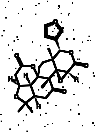 CC1(C)O[C@H]2CC(=O)OC34CC[C@@]5(C)[C@H](c6ccoc6)OC(=O)[C@H]6O[C@]65[C@]3(C)C(=O)C[C@@H]1[C@@H]24